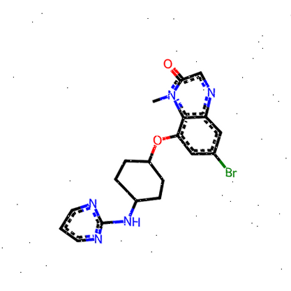 Cn1c(=O)cnc2cc(Br)cc(OC3CCC(Nc4ncccn4)CC3)c21